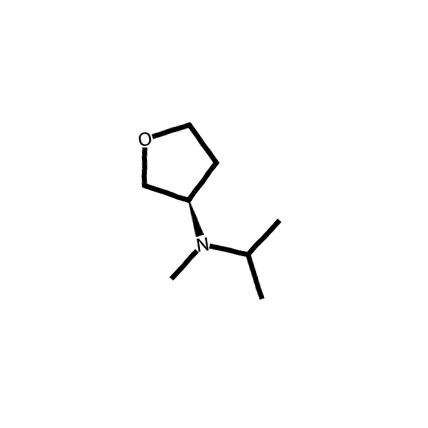 CC(C)N(C)[C@@H]1CCOC1